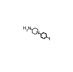 NC1CCN(c2ccc(I)cc2)CC1